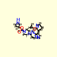 C[C@]1(OC(=O)N2CCN(c3ccn4ncc(-c5cccnc5OC5CC5)c4n3)CC2)CCNC1